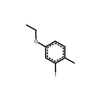 CCOc1ccc(C)c(I)c1